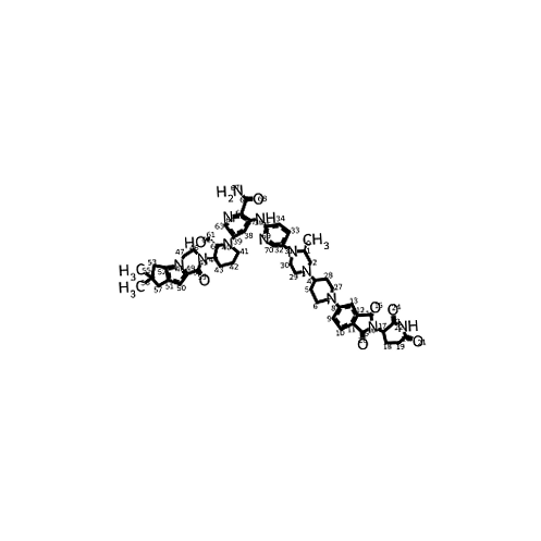 C[C@H]1CN(C2CCN(c3ccc4c(c3)C(=O)N(C3CCC(=O)NC3=O)C4=O)CC2)CCN1c1ccc(Nc2cc(N3CCC[C@@H](N4CCn5c(cc6c5CC(C)(C)C6)C4=O)[C@@H]3CO)cnc2C(N)=O)nc1